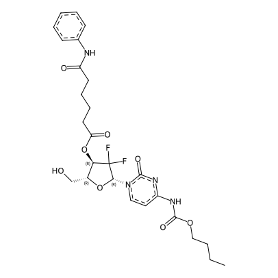 CCCCOC(=O)Nc1ccn([C@@H]2O[C@H](CO)[C@@H](OC(=O)CCCCC(=O)Nc3ccccc3)C2(F)F)c(=O)n1